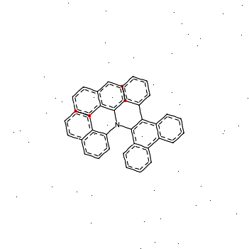 c1ccc(-c2c(N(c3cccc4ccccc34)c3cccc4ccccc34)c3ccccc3c3ccccc23)cc1